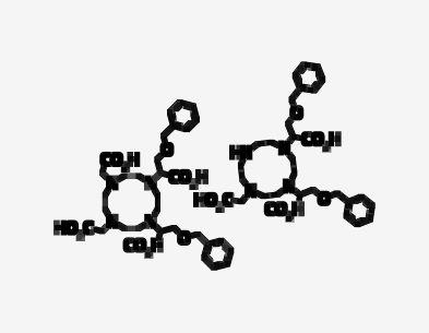 O=C(O)CN1CCN(CC(=O)O)CCN(C(COCc2ccccc2)C(=O)O)CCN(C(COCc2ccccc2)C(=O)O)CC1.O=C(O)CN1CCNCCN(C(COCc2ccccc2)C(=O)O)CCN(C(COCc2ccccc2)C(=O)O)CC1